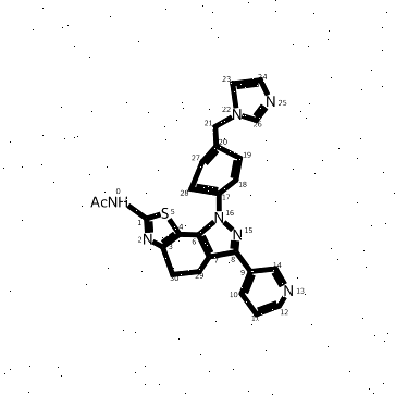 CC(=O)Nc1nc2c(s1)-c1c(c(-c3cccnc3)nn1-c1ccc(Cn3ccnc3)cc1)CC2